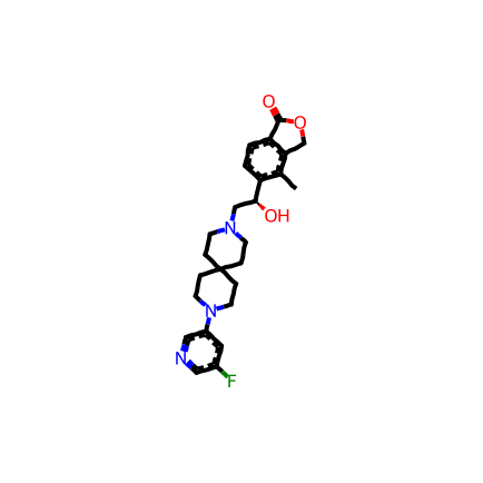 Cc1c([C@@H](O)CN2CCC3(CC2)CCN(c2cncc(F)c2)CC3)ccc2c1COC2=O